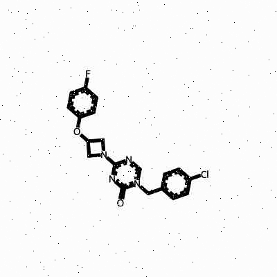 O=c1nc(N2CC(Oc3ccc(F)cc3)C2)ncn1Cc1ccc(Cl)cc1